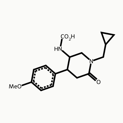 COc1ccc(C2CC(=O)N(CC3CC3)CC2NC(=O)O)cc1